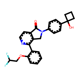 O=C1c2ccnc(-c3ccccc3OCC(F)F)c2CN1c1ccc(C2(O)CCC2)cc1